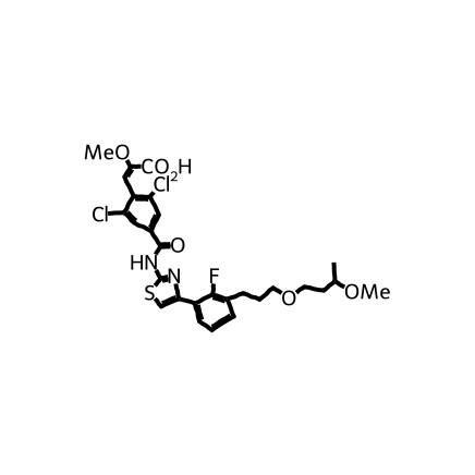 COC(=Cc1c(Cl)cc(C(=O)Nc2nc(-c3cccc(CCCOCCC(C)OC)c3F)cs2)cc1Cl)C(=O)O